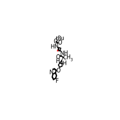 CC(C(=O)NC12CC(NC(=O)OC(C)(C)C)(C1)C2)[C@H]1[C@@H]2C[C@@H](Oc3ccnc4ccc(F)cc34)C[C@@H]21